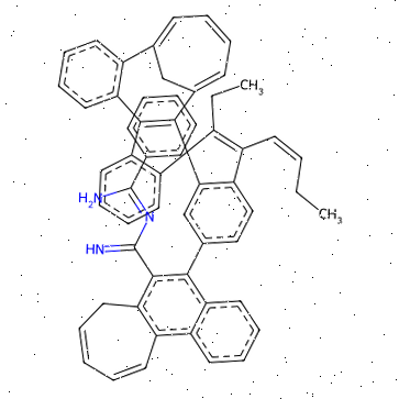 CC/C=C\C1=C(CC)C2(C3=C(c4ccccc4C4=CC=CC=C3C4)c3ccccc32)c2cc(-c3c(C(=N)/N=C(\N)c4ccccc4)c4c(c5ccccc35)C=CC=CC4)ccc21